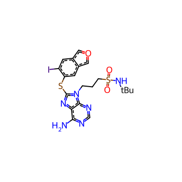 CC(C)(C)NS(=O)(=O)CCCn1c(Sc2cc3cocc3cc2I)nc2c(N)ncnc21